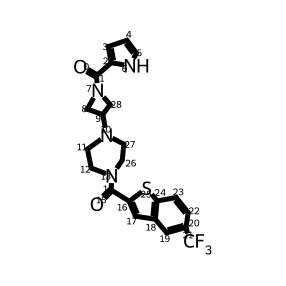 O=C(c1ccc[nH]1)N1CC(N2CCN(C(=O)c3cc4cc(C(F)(F)F)ccc4s3)CC2)C1